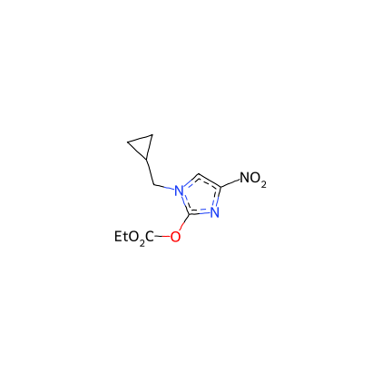 CCOC(=O)Oc1nc([N+](=O)[O-])cn1CC1CC1